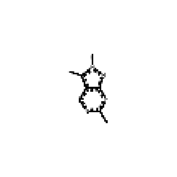 Cc1ncc2c(C)n(C)nc2n1